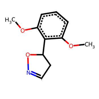 COc1cccc(OC)c1C1C[C]=NO1